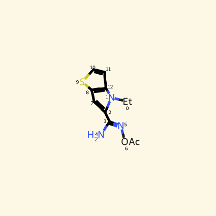 CCn1c(C(N)=NOC(C)=O)cc2sccc21